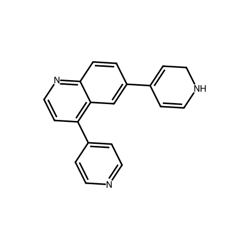 C1=CC(c2ccc3nccc(-c4ccncc4)c3c2)=CCN1